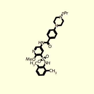 CCCN1CCN(c2ccc(C(=O)Nc3cnc(OC)c(S(=O)(=O)Nc4c(C)cccc4C)c3)cc2)CC1